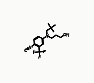 [C-]#[N+]c1ccc(N(CCCO)CC(C)(C)C)cc1C(F)(F)F